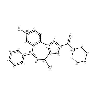 O=C(c1nc2n(n1)-c1ccc(Cl)cc1C(c1ccccc1)=NC2O)N1CCOCC1